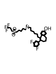 CN(CCCCCCC1=C(c2cc(F)cc(F)c2)CCCc2cc(O)ccc21)CCCCCS(=O)(=O)CCC(F)(F)F